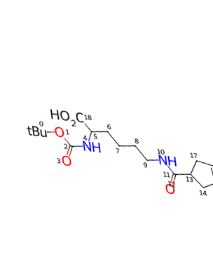 CC(C)(C)OC(=O)NC(CCCCNC(=O)C1CC=CC1)C(=O)O